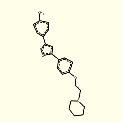 Cc1ccc(-c2cc(-c3ccc(OCCN4CCCCC4)cc3)on2)cc1